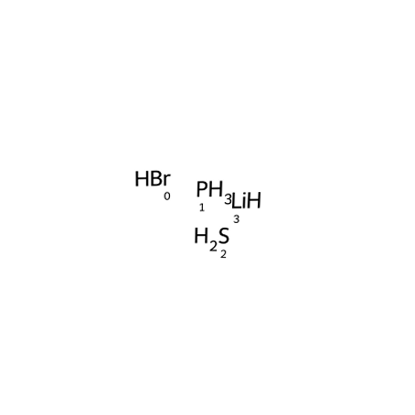 Br.P.S.[LiH]